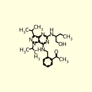 CCC(CO)Nc1nc(NCc2ccccc2C(C)=O)c2c(n1)c(C(C)C)nn2C(C)C